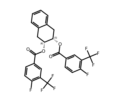 O=C(O[C@H]1Cc2ccccc2C[C@H]1OC(=O)c1ccc(F)c(C(F)(F)F)c1)c1ccc(F)c(C(F)(F)F)c1